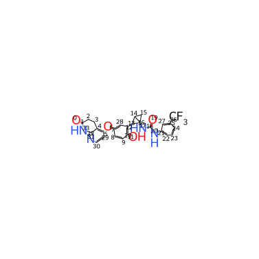 O=C1CCc2c(Oc3ccc(O)c(C4C5CC54NC(=O)Nc4cccc(C(F)(F)F)c4)c3)ccnc2N1